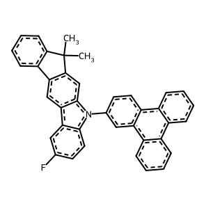 CC1(C)c2ccccc2-c2cc3c4cc(F)ccc4n(-c4ccc5c6ccccc6c6ccccc6c5c4)c3cc21